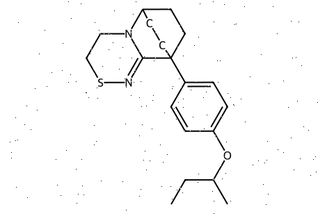 CCC(C)Oc1ccc(C23CCC(CC2)N2CCSN=C23)cc1